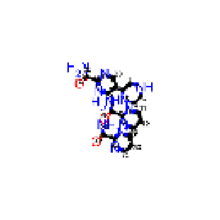 C1=CNCCN1.NC(=O)c1ncccn1.NC(=O)c1ncccn1.NC(=O)c1ncccn1